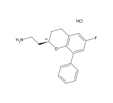 Cl.NCC[C@H]1CCc2cc(F)cc(-c3ccccc3)c2O1